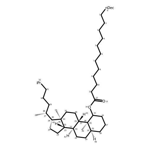 CCCCCCCCCCCCCCCCCCCCCC(=O)OC1CCC[C@H]2CC[C@H]3[C@@H]4CC[C@H]([C@H](C)CCCC(C)C)[C@@]4(C)CC[C@@H]3[C@@]12C